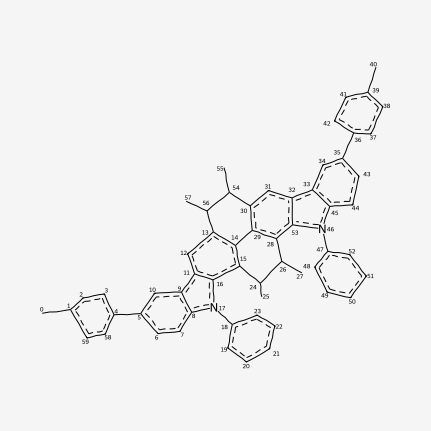 Cc1ccc(-c2ccc3c(c2)c2cc4c5c(c2n3-c2ccccc2)C(C)C(C)c2c-5c(cc3c5cc(-c6ccc(C)cc6)ccc5n(-c5ccccc5)c23)C(C)C4C)cc1